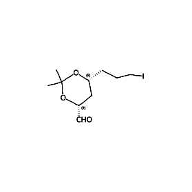 CC1(C)O[C@H](CCCI)C[C@H](C=O)O1